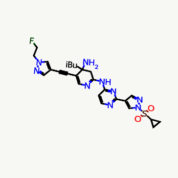 CCC(C)C1(N)CC(Nc2ccnc(-c3cnn(S(=O)(=O)C4CC4)c3)n2)=NC=C1C#Cc1cnn(CCF)c1